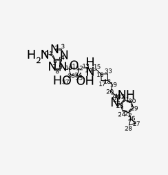 Nc1ncnc2c1ncn2[C@@H]1O[C@H](CNCC2CC(CCc3nc4cc(C5CC5)ccc4[nH]3)C2)[C@@H](O)[C@H]1O